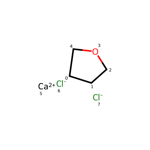 C1CCOC1.[Ca+2].[Cl-].[Cl-]